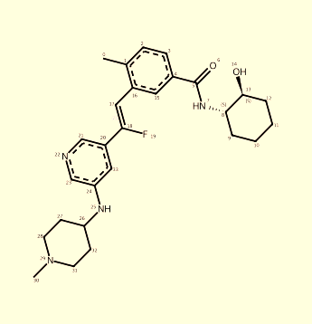 Cc1ccc(C(=O)N[C@H]2CCCC[C@@H]2O)cc1/C=C(\F)c1cncc(NC2CCN(C)CC2)c1